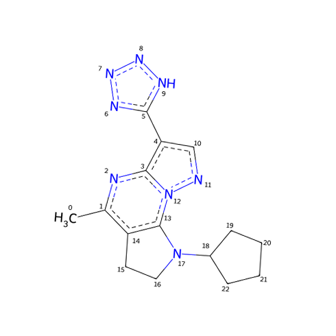 Cc1nc2c(-c3nnn[nH]3)cnn2c2c1CCN2C1CCCC1